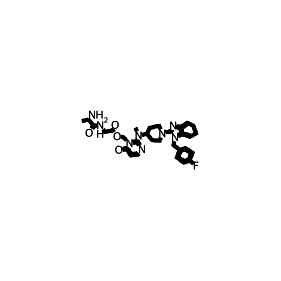 CC(N)C(=O)NCC(=O)OCn1c(N(C)C2CCN(c3nc4c(n3Cc3ccc(F)cc3)=CCCC=4)CC2)nccc1=O